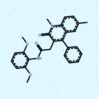 COc1cccc(OC)c1NC(=O)Cc1c(-c2ccccc2)c2cc(C)ccc2n(C)c1=O